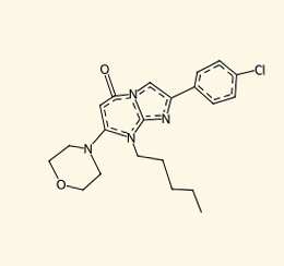 CCCCCn1c(N2CCOCC2)cc(=O)n2cc(-c3ccc(Cl)cc3)nc12